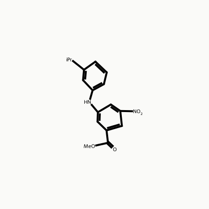 COC(=O)c1cc(Nc2cccc(C(C)C)c2)cc([N+](=O)[O-])c1